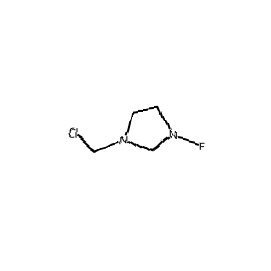 FN1CCN(CCl)C1